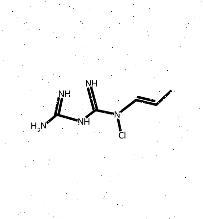 CC=CN(Cl)C(=N)NC(=N)N